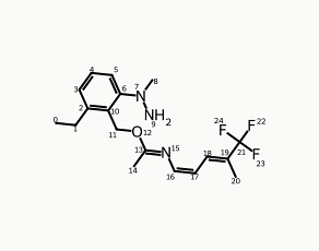 CCc1cccc(N(C)N)c1CO/C(C)=N/C=C\C=C(/C)C(F)(F)F